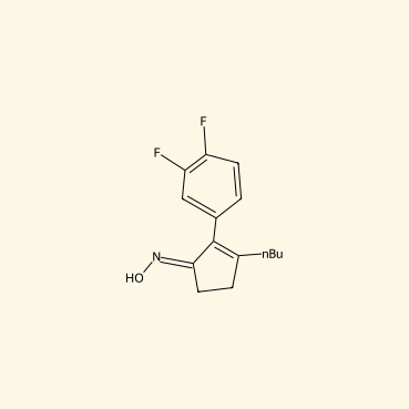 CCCCC1=C(c2ccc(F)c(F)c2)/C(=N/O)CC1